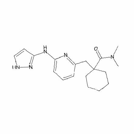 CN(C)C(=O)C1(Cc2cccc(Nc3cc[nH]n3)n2)CCCCC1